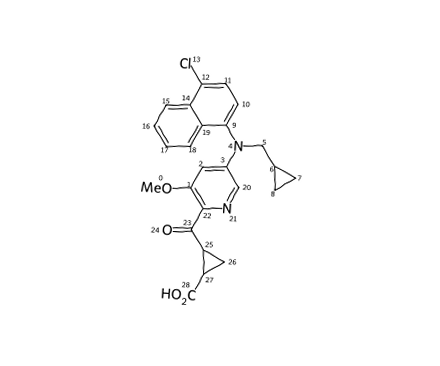 COc1cc(N(CC2CC2)c2ccc(Cl)c3ccccc23)cnc1C(=O)C1CC1C(=O)O